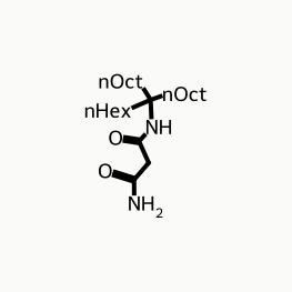 CCCCCCCCC(CCCCCC)(CCCCCCCC)NC(=O)CC(N)=O